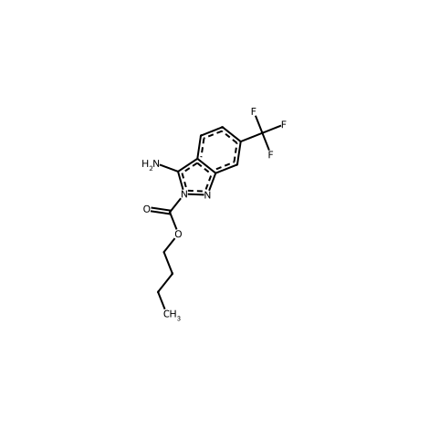 CCCCOC(=O)n1nc2cc(C(F)(F)F)ccc2c1N